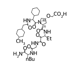 CCCCC(NC(=O)CNC(=O)C(=O)C(CC)NC(=O)[C@@H]1C[C@@H](OCC(=O)O)CN1C(=O)C(NC(=O)CC1CCC(C)CC1)C1CCCCC1)C(N)=O